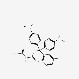 CCCCC(=O)NC1=Nc2ccc(C)cc2C(c2ccc(N(C)C)cc2)(c2ccc(N(C)C)cc2)S1